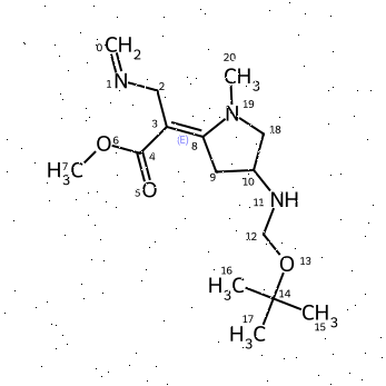 C=NC/C(C(=O)OC)=C1/CC(NCOC(C)(C)C)CN1C